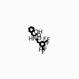 O=C(Cc1cc(C(F)(F)F)cc(C(F)(F)F)c1)NC(Cc1ccccc1)C(=O)O